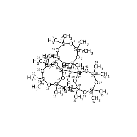 C[Si]1(C)O[Si](C)(C)O[Si](C)([Si](C)([Si]2(C)O[Si](C)(C)O[Si](C)(C)O[Si](C)(C)O2)[Si]2(C)O[Si](C)(C)O[Si](C)(C)O[Si](C)(C)O2)O[Si](C)(C)O1